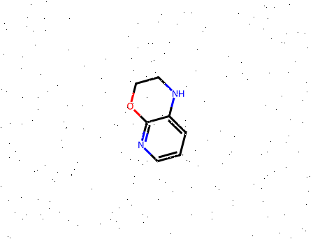 [c]1cnc2c(c1)NCCO2